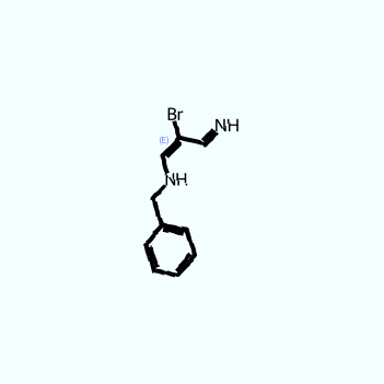 N=C/C(Br)=C\NCc1ccccc1